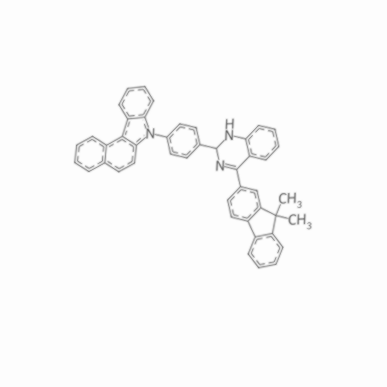 CC1(C)c2ccccc2-c2ccc(C3=NC(c4ccc(-n5c6ccccc6c6c7ccccc7ccc65)cc4)Nc4ccccc43)cc21